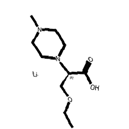 CCOC[C@H](C(=O)O)N1CCN(C)CC1.[Li]